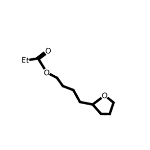 CCC(=O)OCCCCC1CCCO1